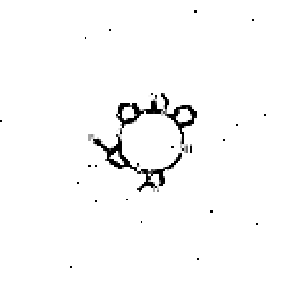 CCN1C(=O)c2cccc(c2)Oc2cc(ccc2C#N)Cn2c(cnc2C)CCNCc2ccccc21